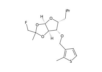 Cc1sccc1CO[C@@H]1[C@H]2OC(C)(CF)O[C@H]2O[C@@H]1CC(C)C